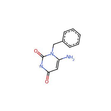 NC1=CC(=O)[N]C(=O)N1Cc1ccccc1